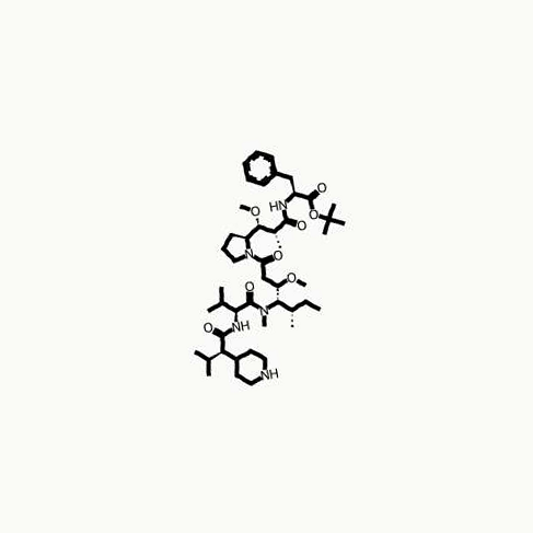 CC[C@H](C)[C@@H](C(CC(=O)N1CCC[C@H]1[C@H](OC)[C@@H](C)C(=O)N[C@@H](Cc1ccccc1)C(=O)OC(C)(C)C)OC)N(C)C(=O)[C@@H](NC(=O)[C@H](C(C)C)C1CCNCC1)C(C)C